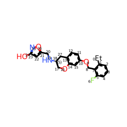 CCc1cccc(F)c1COc1ccc2c(c1)OC[C@@H](NCc1cc(O)no1)C2